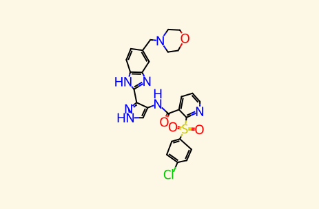 O=C(Nc1c[nH]nc1-c1nc2cc(CN3CCOCC3)ccc2[nH]1)c1cccnc1S(=O)(=O)c1ccc(Cl)cc1